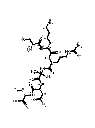 CC(C)(NC(=O)[C@H](CCCNC(=N)N)NC(=O)[C@H](CCCCN)NC(=O)[C@@H](N)CS)C(=O)N[C@@H](CC(N)=O)C(=O)N[C@@H](CS)C(=O)O